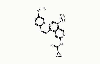 CNc1ncc(/C=C\c2ccc(OC)cc2)c2cc(NC(=O)C3CC3)ncc12